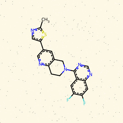 Cc1ncc(-c2cnc3c(c2)CN(c2ncnc4cc(F)c(F)cc24)CC3)s1